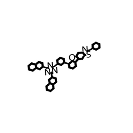 c1ccc(-c2nc3cc4oc5c(-c6cccc(-c7nc(-c8ccc9ccccc9c8)nc(-c8ccc9ccccc9c8)n7)c6)cccc5c4cc3s2)cc1